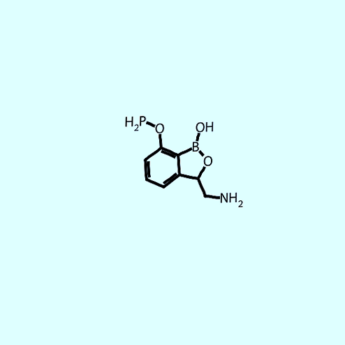 NCC1OB(O)c2c(OP)cccc21